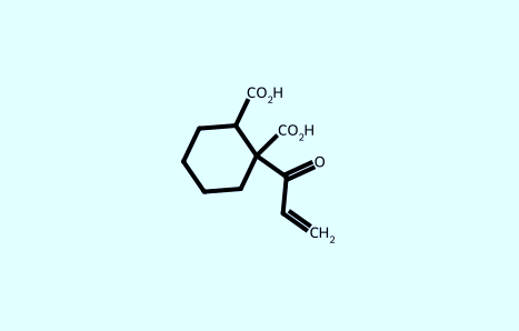 C=CC(=O)C1(C(=O)O)CCCCC1C(=O)O